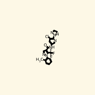 Cc1cccc(F)c1-n1ncc(C(=O)Nc2cnc(-n3nccn3)c(Cl)c2)c1C(F)(F)F